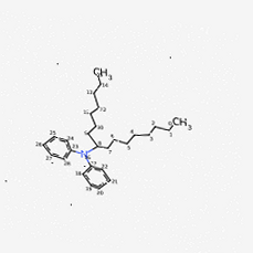 CCCCCCCCC(CCCCCCC)N(c1ccccc1)c1ccccc1